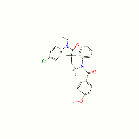 CCN(C(=O)C1(C)C[C@@H](C)N(C(=O)c2ccc(OC)cc2)c2ccccc21)c1ccc(Cl)cc1